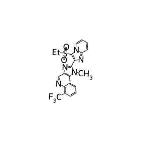 CCS(=O)(=O)c1c(-c2nc3cnc4c(C(F)(F)F)cccc4c3n2C)nc2ccccn12